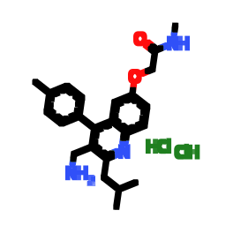 CNC(=O)COc1ccc2nc(CC(C)C)c(CN)c(-c3ccc(C)cc3)c2c1.Cl.Cl